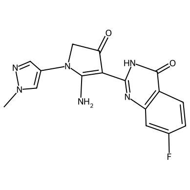 Cn1cc(N2CC(=O)C(c3nc4cc(F)ccc4c(=O)[nH]3)=C2N)cn1